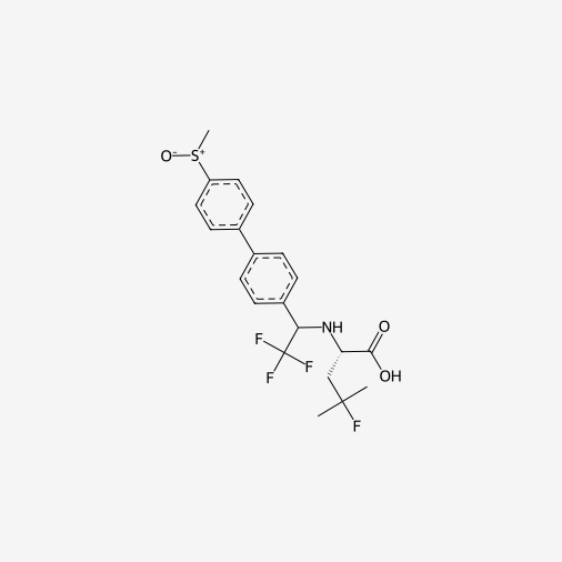 C[S+]([O-])c1ccc(-c2ccc(C(N[C@@H](CC(C)(C)F)C(=O)O)C(F)(F)F)cc2)cc1